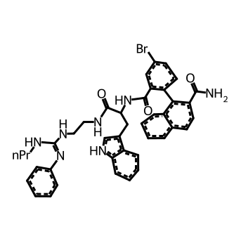 CCCNC(=Nc1ccccc1)NCCNC(=O)C(Cc1c[nH]c2ccccc12)NC(=O)c1cc(Br)ccc1-c1c(C(N)=O)ccc2ccccc12